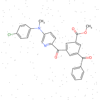 COC(=O)c1cc(C(=O)c2ccccc2)cc(C(=O)c2ccc(N(C)c3ccc(Cl)cc3)cn2)c1